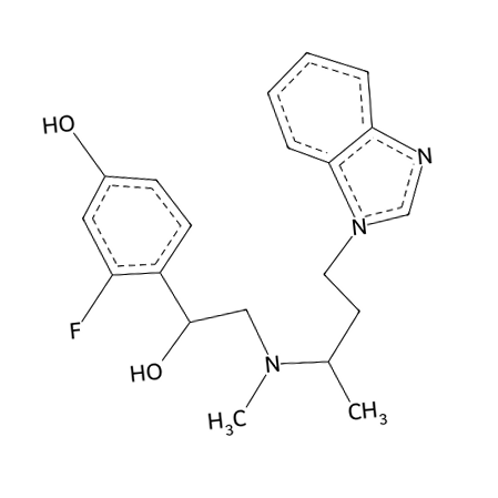 CC(CCn1cnc2ccccc21)N(C)CC(O)c1ccc(O)cc1F